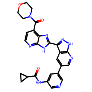 O=C(Nc1cncc(-c2cnc3[nH]nc(-c4nc5c(C(=O)N6CCOCC6)ccnc5[nH]4)c3c2)c1)C1CC1